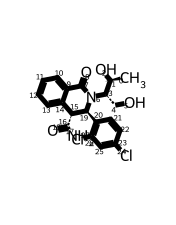 C[C@H](O)[C@H](CO)N1C(=O)c2ccccc2[C@@H](C(N)=O)[C@@H]1c1ccc(Cl)cc1Cl